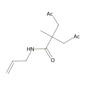 C=CCNC(=O)C(C)(CC(C)=O)CC(C)=O